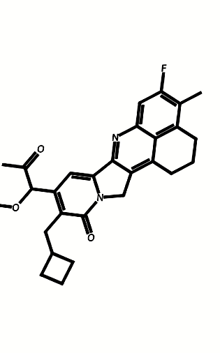 COC(C(C)=O)c1cc2n(c(=O)c1CC1CCC1)Cc1c-2nc2cc(F)c(C)c3c2c1CCC3